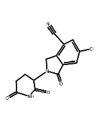 N#Cc1cc(Cl)cc2c1CN(C1CCC(=O)NC1=O)C2=O